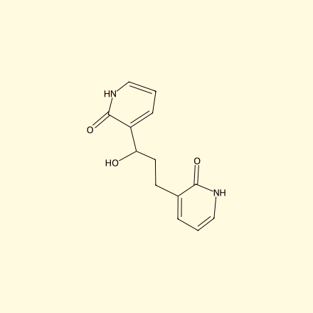 O=c1[nH]cccc1CCC(O)c1ccc[nH]c1=O